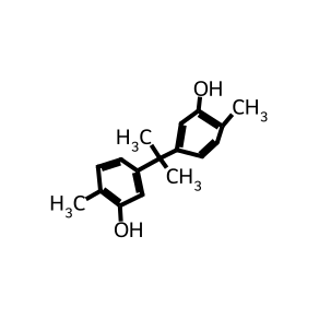 Cc1ccc(C(C)(C)c2ccc(C)c(O)c2)cc1O